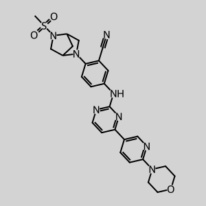 CS(=O)(=O)N1CC2CC1CN2c1ccc(Nc2nccc(-c3ccc(N4CCOCC4)nc3)n2)cc1C#N